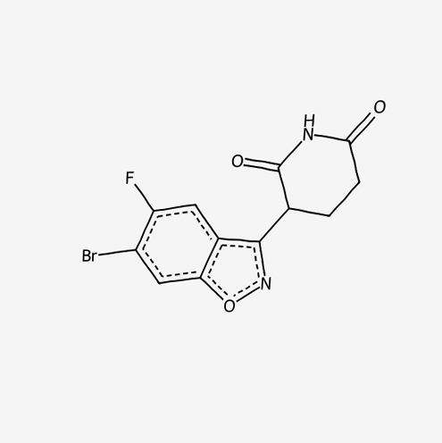 O=C1CCC(c2noc3cc(Br)c(F)cc23)C(=O)N1